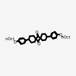 CCCCCCCCOc1ccc(C2CCC3(CC2)C(=O)C2(CCC(c4ccc(OCCCCCCCC)cc4)CC2)C3=O)cc1